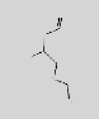 C=CNC(C)CNCC